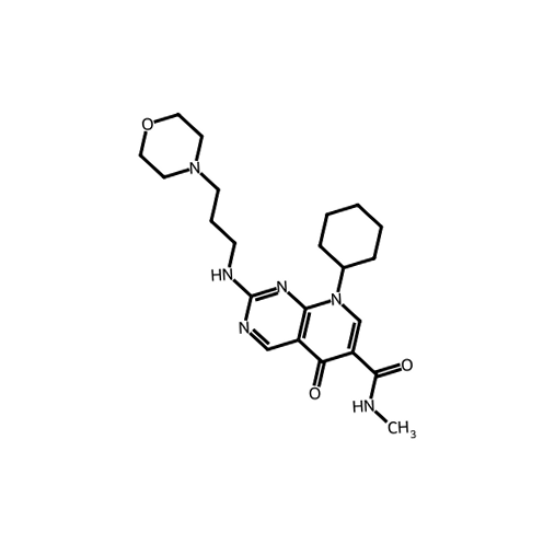 CNC(=O)c1cn(C2CCCCC2)c2nc(NCCCN3CCOCC3)ncc2c1=O